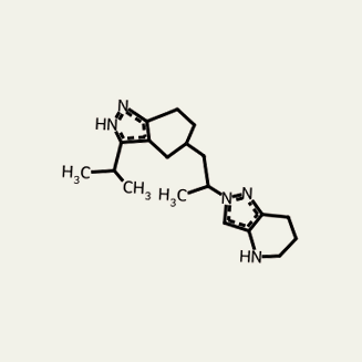 CC(C)c1[nH]nc2c1CC(CC(C)n1cc3c(n1)CCCN3)CC2